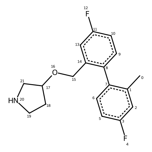 Cc1cc(F)ccc1-c1ccc(F)cc1COC1CCNC1